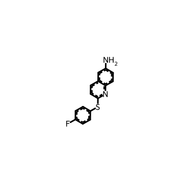 Nc1ccc2nc(Sc3ccc(F)cc3)ccc2c1